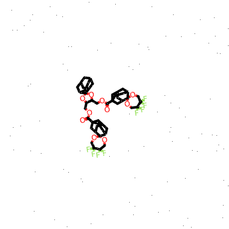 O=C(OCC1OC2(OC1COC(=O)C13CC4CC(C1)C1(OCC(F)(F)C(F)(F)CO1)C(C4)C3)C1CC3CC(C1)CC2C3)C12CC3CC(C1)C1(OCC(F)(F)C(F)(F)CO1)C(C3)C2